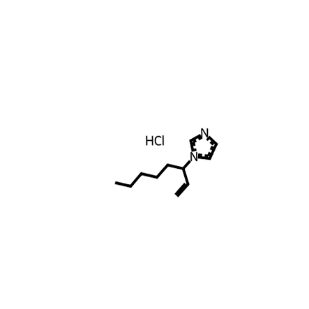 C=CC(CCCCC)n1ccnc1.Cl